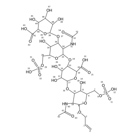 C=CCOC1OC(COS(=O)(=O)O)C(O)C(OC2OC(C(=O)O)C(OC3OC(COS(=O)(=O)O)C(O)C(OC4OC(C(=O)O)C(O)C(O)C4O)C3NC(C)=O)C(O)C2O)C1NC(C)=O